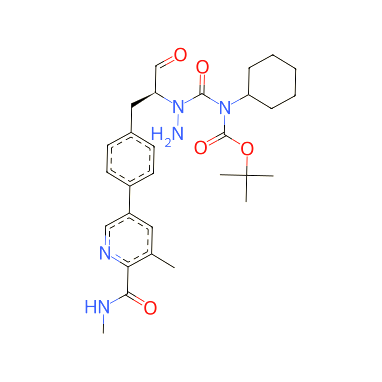 CNC(=O)c1ncc(-c2ccc(C[C@@H](C=O)N(N)C(=O)N(C(=O)OC(C)(C)C)C3CCCCC3)cc2)cc1C